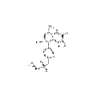 Cc1cc(O)c(-c2ccc(CS(=O)(=O)NC3CC3)cc2)c2c1[nH]c(=O)c1sccc12